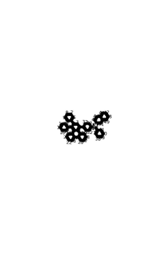 C1=C(c2cc(-c3ccccc3)c(-c3ccccc3)c3c4ccccc4c4ccccc4c23)CCC(N(c2ccccc2)c2ccc3ccccc3c2)=C1